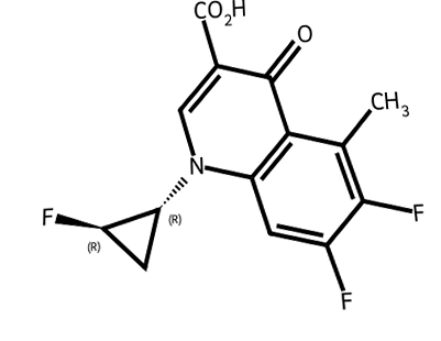 Cc1c(F)c(F)cc2c1c(=O)c(C(=O)O)cn2[C@@H]1C[C@H]1F